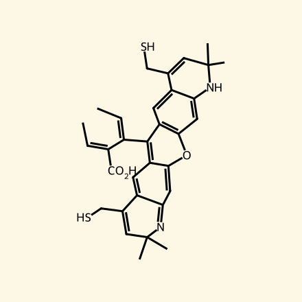 C/C=C(C1=c2cc3c(cc2Oc2cc4c(cc21)C(CS)=CC(C)(C)N4)=NC(C)(C)C=C3CS)\C(=C/C)C(=O)O